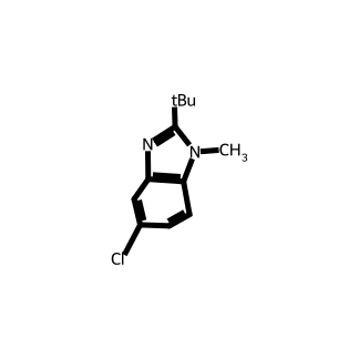 Cn1c(C(C)(C)C)nc2cc(Cl)ccc21